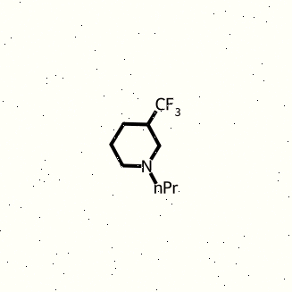 CCCN1CCCC(C(F)(F)F)C1